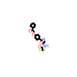 O=C(COc1ccc(-c2ncc(NC(=O)C(F)(F)F)o2)cc1)c1ccccc1